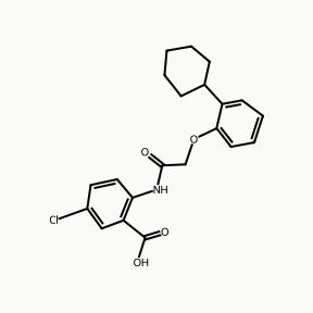 O=C(COc1ccccc1C1CCCCC1)Nc1ccc(Cl)cc1C(=O)O